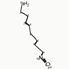 NCCCCCCCCN=O